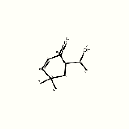 CC(O)C1CC(C)(C)C=CC1=O